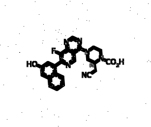 N#CC[C@H]1CN(c2ncnc3c(F)c(-c4cc(O)cc5ccccc45)ncc23)CCN1C(=O)O